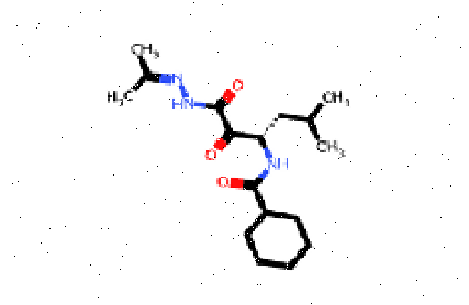 CC(C)=NNC(=O)C(=O)[C@H](CC(C)C)NC(=O)C1CCCCC1